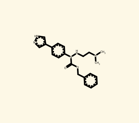 CN(C)CCNN(C(=O)OCc1ccccc1)c1ccc(-c2cn[nH]c2)cc1